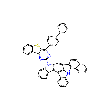 c1ccc(-c2ccc(-c3nc(-n4c5ccccc5c5c6c7ccccc7n7c8c9ccccc9ccc8c(cc54)c67)nc4c3sc3ccccc34)cc2)cc1